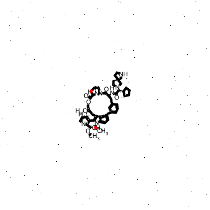 CCn1c(-c2cccnc2[C@H](C)OC)c2c3cc(ccc31)-c1cccc(c1)C[C@H](NC(=O)[C@H](C1CCCC1)N1CC[C@]3(CCNC3)C1)C(=O)N1CCC[C@H](N1)C(=O)OCC(C)(C)C2